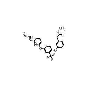 COC(=O)Cc1cccc(Oc2ccc(Oc3cccc(CNC=O)n3)cc2C(F)(F)F)c1